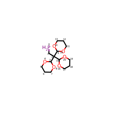 PCC(C1OCCCO1)(C1OCCCO1)C1OCCCO1